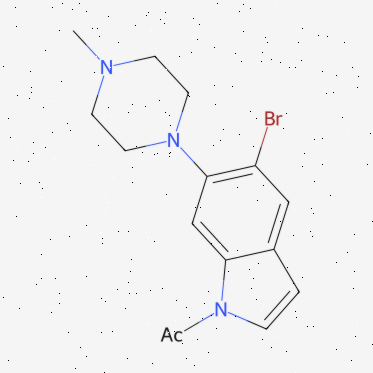 CC(=O)n1ccc2cc(Br)c(N3CCN(C)CC3)cc21